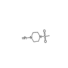 CC[CH]N1CCN(S(C)(=O)=O)CC1